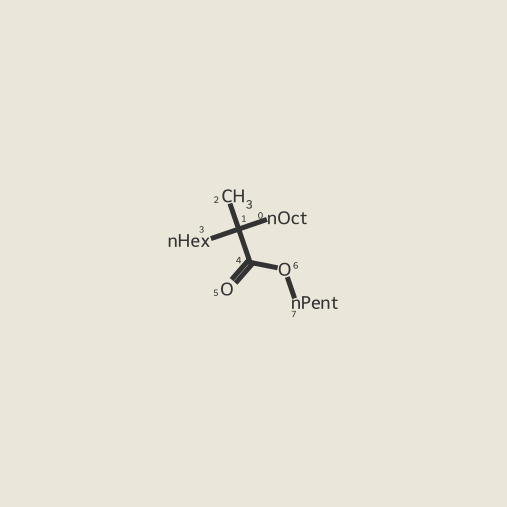 CCCCCCCCC(C)(CCCCCC)C(=O)OCCCCC